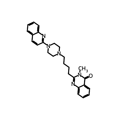 Cn1c(CCCCN2CCN(c3ccc4ccccc4n3)CC2)nc2ccccc2c1=O